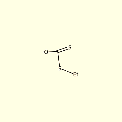 CCSC([O])=S